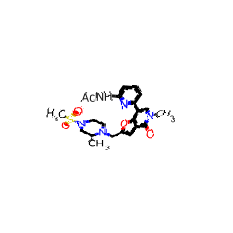 CC(=O)Nc1cccc(-c2cn(C)c(=O)c3cc(CN4CCN(S(C)(=O)=O)C[C@H]4C)oc23)n1